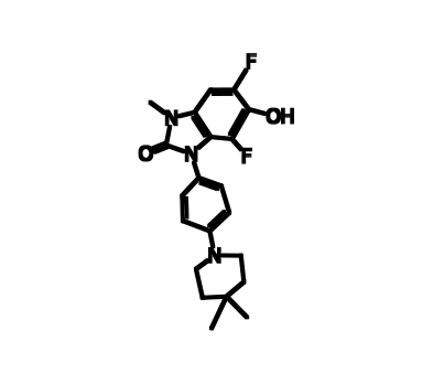 Cn1c(=O)n(-c2ccc(N3CCC(C)(C)CC3)cc2)c2c(F)c(O)c(F)cc21